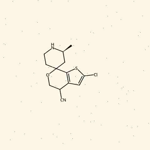 C[C@H]1CC2(CCN1)OCC(C#N)c1cc(Cl)sc12